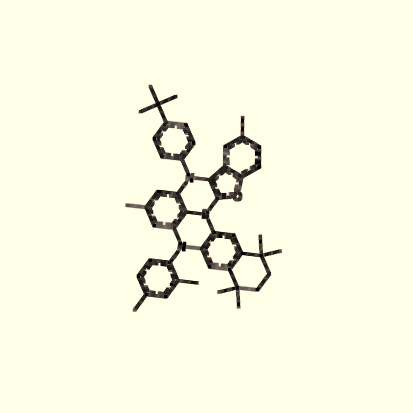 Cc1ccc(N2c3cc4c(cc3B3c5oc6ccc(C)cc6c5N(c5ccc(C(C)(C)C)cc5)c5cc(C)cc2c53)C(C)(C)CCC4(C)C)c(C)c1